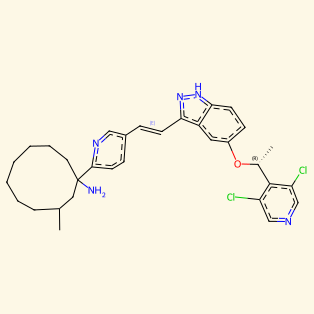 CC1CCCCCCCC(N)(c2ccc(/C=C/c3n[nH]c4ccc(O[C@H](C)c5c(Cl)cncc5Cl)cc34)cn2)C1